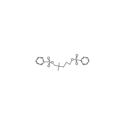 CC(C)(CCCOS(=O)(=O)c1ccccc1)COS(=O)(=O)c1ccccc1